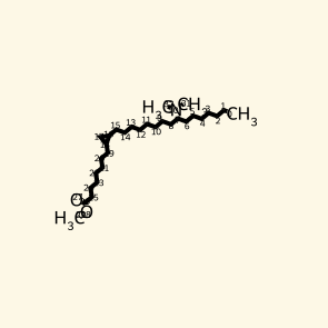 CCCCCCCC(CCCCCCCCC1CC1CCCCCCCC(=O)OC)N(C)C